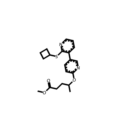 COC(=O)CCC(C)Oc1ccc(-c2cccnc2SC2CCC2)cn1